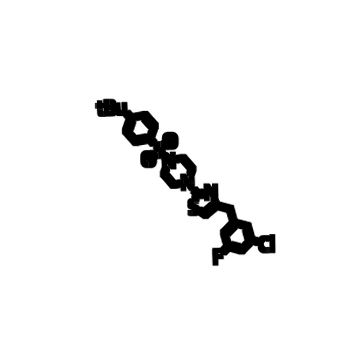 CC(C)(C)c1ccc(S(=O)(=O)N2CCN(c3nc(Cc4cc(F)cc(Cl)c4)cs3)CC2)cc1